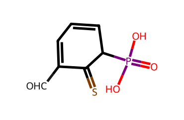 O=CC1=CC=CC(P(=O)(O)O)C1=S